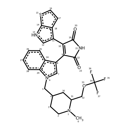 CN1CCC(Cn2cc(C3=C(c4c[nH]c5sccc45)C(=O)NC3=O)c3ccccc32)CC1COC(F)(F)F